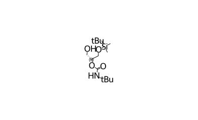 CC(C)(C)NC(=O)O[C@H](CO)CO[Si](C)(C)C(C)(C)C